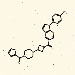 O=C(c1ccc2c(ccn2-c2ccc(C(F)(F)F)cc2)c1)N1CC(N2CCN(C(=O)c3ccc[nH]3)CC2)C1